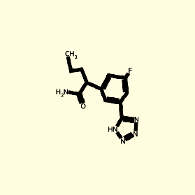 CCCC(C(N)=O)c1cc(F)cc(-c2nnn[nH]2)c1